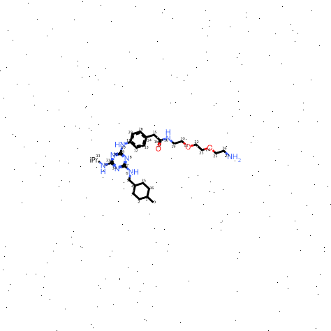 CC1CCC(CNc2nc(Nc3ccc(CC(=O)NCCOCCOCCN)cc3)nc(NC(C)C)n2)CC1